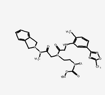 CCN(CCN(CC(=O)N(C)N1Cc2ccccc2C1)C(=O)CNc1cc(-c2noc(C(F)(F)F)n2)ccc1C)C(=O)OC(C)(C)C